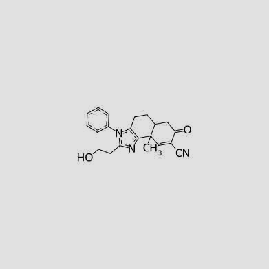 CC12C=C(C#N)C(=O)CC1CCc1c2nc(CCO)n1-c1ccccc1